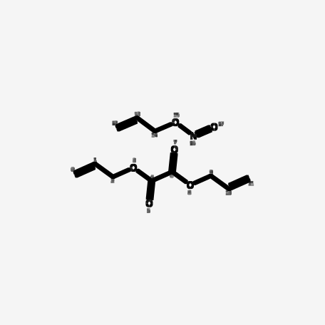 C=CCOC(=O)C(=O)OCC=C.C=CCON=O